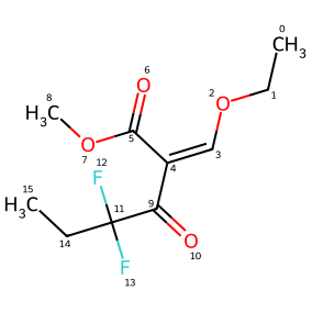 CCOC=C(C(=O)OC)C(=O)C(F)(F)CC